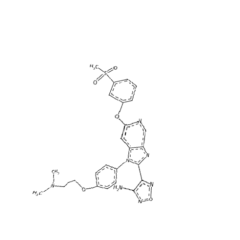 CN(C)CCOc1ccc(-n2c(-c3nonc3N)nc3cnc(Oc4cccc(S(C)(=O)=O)c4)cc32)cc1